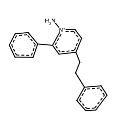 N[n+]1ccc([CH]Cc2ccccc2)cc1-c1ccccc1